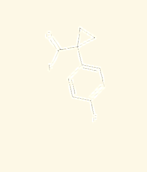 O=C(F)C1(c2ccc(F)cc2)CC1